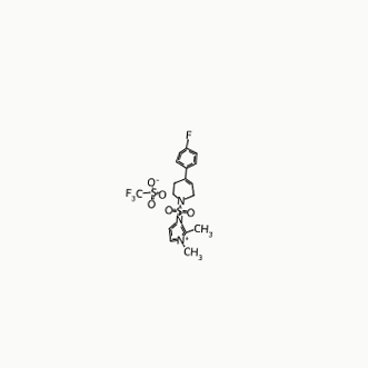 Cc1n(S(=O)(=O)N2CC=C(c3ccc(F)cc3)CC2)cc[n+]1C.O=S(=O)([O-])C(F)(F)F